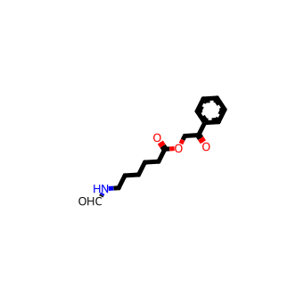 O=CNCCCCCC(=O)OCC(=O)c1ccccc1